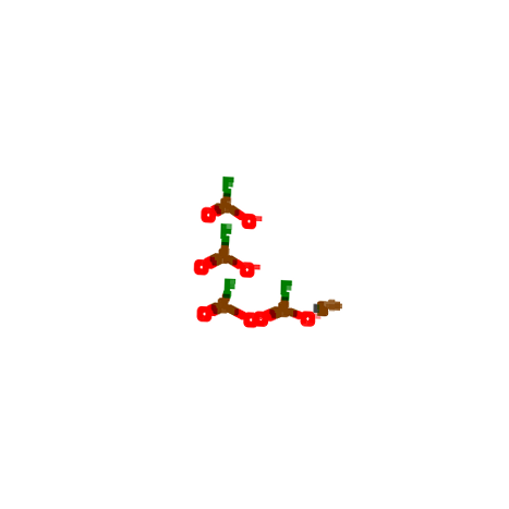 O=S([O-])F.O=S([O-])F.O=S([O-])F.O=S([O-])F.[S+4]